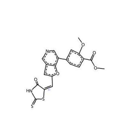 COC(=O)c1ccc(-c2cncc3cc(/C=C4/SC(=S)NC4=O)oc23)cc1OC